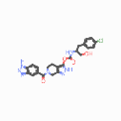 O=C(NC(CO)Cc1ccc(Cl)cc1)Oc1[nH]nc2c1CCN(C(=O)c1ccc3[nH]nnc3c1)C2